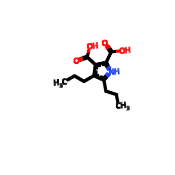 CCCc1[nH]c(C(=O)O)c(C(=O)O)c1CCC